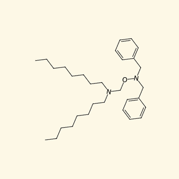 CCCCCCCCN(CCCCCCCC)CON(Cc1ccccc1)Cc1ccccc1